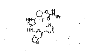 CC(C)NC(=O)O[C@H]1CC[C@@H](c2cc(Nc3nc(-c4cncnc4)cc4nccn34)n[nH]2)[C@H]1F